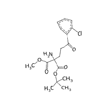 COC(=O)C(N)(CCC(=O)c1ccccc1Cl)C(=O)OC(C)(C)C